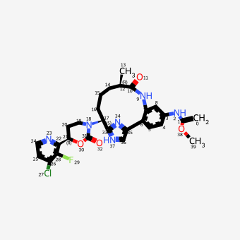 C=C(Nc1ccc2c(c1)NC(=O)[C@H](C)CCC[C@H](N1CC[C@H](c3nccc(Cl)c3F)OC1=O)c1nc-2c[nH]1)OC